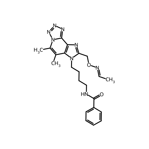 C/C=N/OCc1nc2c(c(C)c(C)n3nnnc23)n1CCCCNC(=O)c1ccccc1